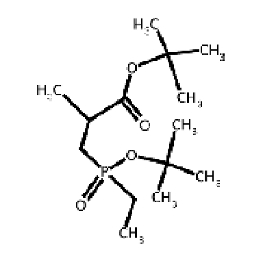 CCP(=O)(CC(C)C(=O)OC(C)(C)C)OC(C)(C)C